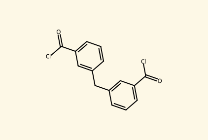 O=C(Cl)c1cccc(Cc2cccc(C(=O)Cl)c2)c1